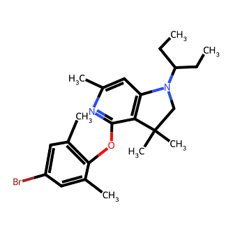 CCC(CC)N1CC(C)(C)c2c1cc(C)nc2Oc1c(C)cc(Br)cc1C